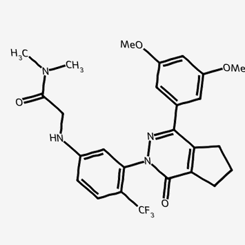 COc1cc(OC)cc(-c2nn(-c3cc(NCC(=O)N(C)C)ccc3C(F)(F)F)c(=O)c3c2CCC3)c1